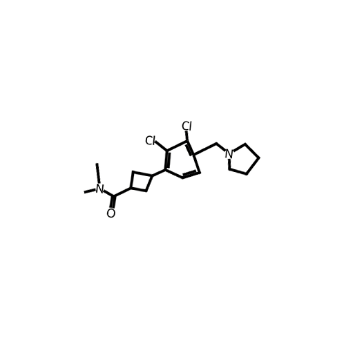 CN(C)C(=O)C1CC(c2ccc(CN3CCCC3)c(Cl)c2Cl)C1